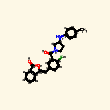 Cc1ccc(NC2CCN(C(=O)c3cc(C=C4OC(=O)c5ccccc54)ccc3F)C2)cc1